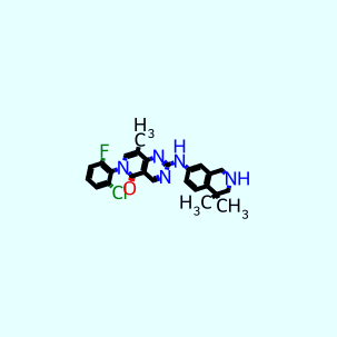 Cc1cn(-c2c(F)cccc2Cl)c(=O)c2cnc(Nc3ccc4c(c3)CNCC4(C)C)nc12